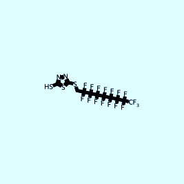 FC(F)(F)C(F)(F)C(F)(F)C(F)(F)C(F)(F)C(F)(F)C(F)(F)C(F)(F)CSc1nnc(S)s1